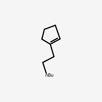 [CH2]CCCCCC1=CCCC1